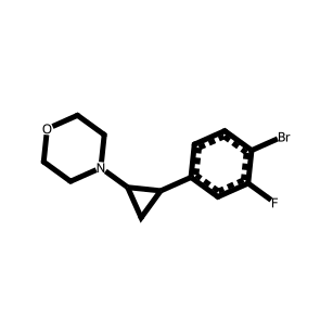 Fc1cc(C2CC2N2CCOCC2)ccc1Br